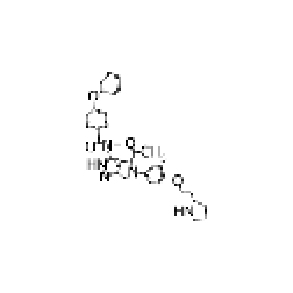 CC(=O)C1c2c(n[nH]c2NC(=O)c2ccc(Oc3ccccc3)cc2)CN1c1ccc(OCCC2CCCN2)cc1